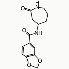 O=C1CC(NC(=O)c2ccc3c(c2)OCO3)CCCN1